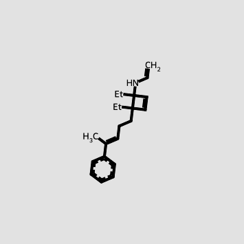 C=CNC1(CC)C=CC1(CC)CC/C=C(\C)c1ccccc1